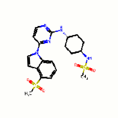 CS(=O)(=O)N[C@H]1CC[C@H](Nc2nccc(-n3ccc4c(S(C)(=O)=O)cccc43)n2)CC1